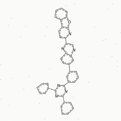 c1ccc(-c2nc(-c3ccccc3)nc(-c3cccc(-c4ccc5nc(-c6ccc7c(n6)oc6ccccc67)cnc5c4)c3)n2)cc1